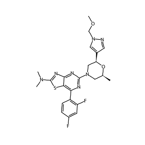 COCn1cc([C@@H]2CN(c3nc(-c4ccc(F)cc4F)c4sc(N(C)C)nc4n3)C[C@H](C)O2)cn1